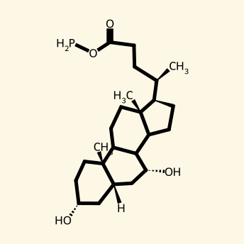 C[C@H](CCC(=O)OP)[C@H]1CCC2C3C(CC[C@@]21C)[C@@]1(C)CC[C@@H](O)C[C@H]1C[C@H]3O